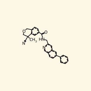 CC1(C#N)COCc2ccc(C(=O)NCc3cc4cc(-c5ccccc5)ccc4cn3)cc21